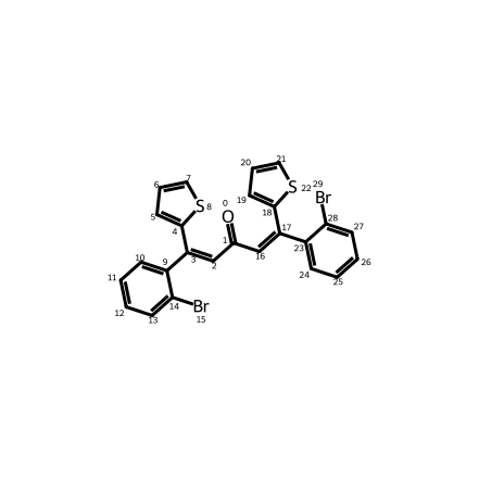 O=C(C=C(c1cccs1)c1ccccc1Br)C=C(c1cccs1)c1ccccc1Br